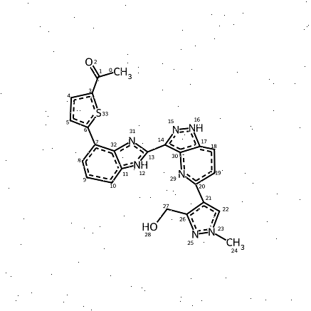 CC(=O)c1ccc(-c2cccc3[nH]c(-c4n[nH]c5ccc(-c6cn(C)nc6CO)nc45)nc23)s1